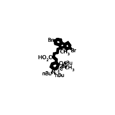 CCCCN(CCCC)c1ccc(C=C(CCCC2(C)c3cc(Br)ccc3-c3ccc(Br)cc32)C(=O)O)c(O[Si](C)(C)C(C)(C)C)c1